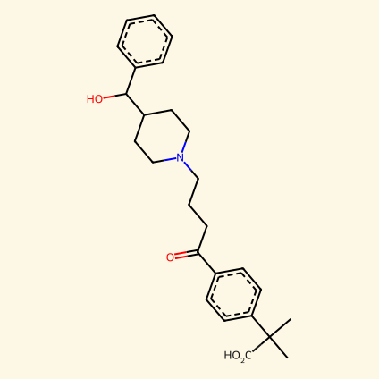 CC(C)(C(=O)O)c1ccc(C(=O)CCCN2CCC(C(O)c3ccccc3)CC2)cc1